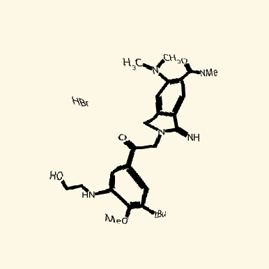 Br.CNC(=O)c1cc2c(cc1N(C)C)CN(CC(=O)c1cc(NCCO)c(OC)c(C(C)(C)C)c1)C2=N